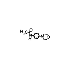 CC(=O)Nc1ccc(N2CCOCC2)cc1